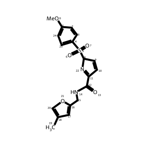 COc1ccc(S(=O)(=O)C2C=CC(C(=O)NCc3cc(C)co3)=N2)cc1